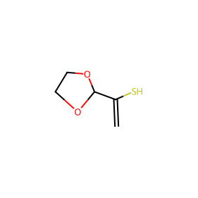 C=C(S)C1OCCO1